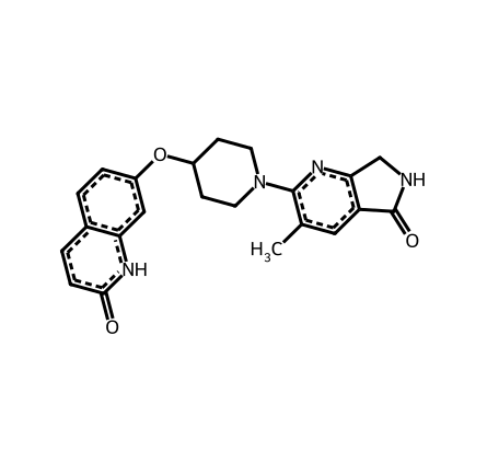 Cc1cc2c(nc1N1CCC(Oc3ccc4ccc(=O)[nH]c4c3)CC1)CNC2=O